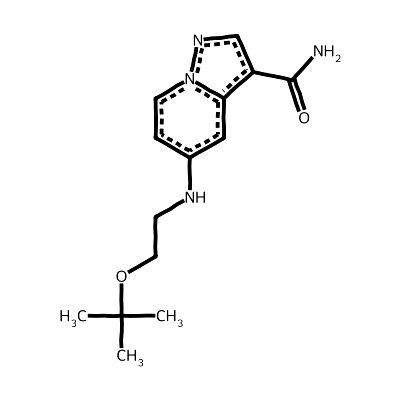 CC(C)(C)OCCNc1ccn2ncc(C(N)=O)c2c1